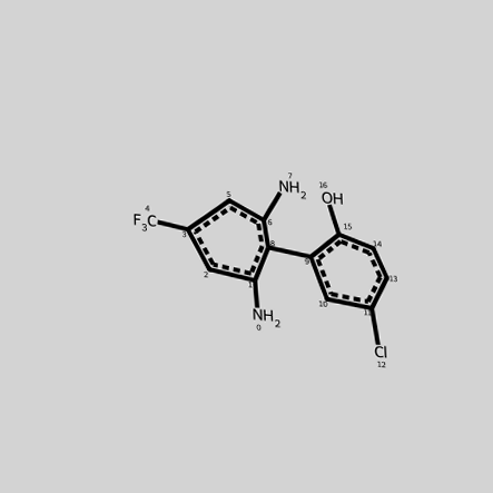 Nc1cc(C(F)(F)F)cc(N)c1-c1cc(Cl)ccc1O